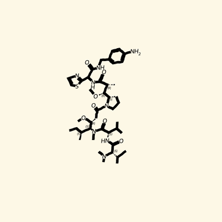 CC[C@H](C)[C@@H]([C@@H](CC(=O)N1CCC[C@H]1[C@H](OC)[C@@H](C)C(=O)NC(C(=O)NCc1ccc(N)cc1)c1nccs1)OC)N(C)C(=O)[C@@H](NC(=O)[C@H](C(C)C)N(C)C)C(C)C